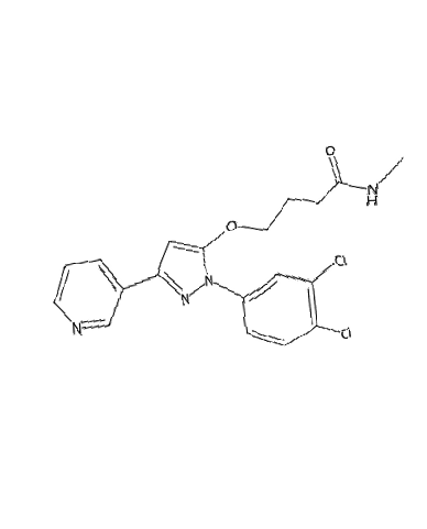 CNC(=O)CCCOc1cc(-c2cccnc2)nn1-c1ccc(Cl)c(Cl)c1